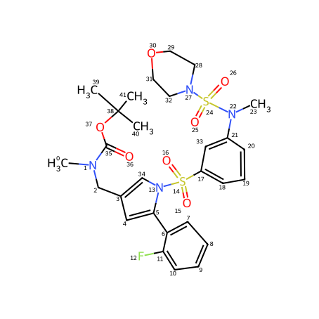 CN(Cc1cc(-c2ccccc2F)n(S(=O)(=O)c2cccc(N(C)S(=O)(=O)N3CCOCC3)c2)c1)C(=O)OC(C)(C)C